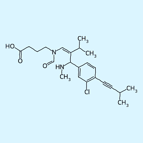 CNC(/C(=C\N(C=O)CCCC(=O)O)C(C)C)c1ccc(C#CC(C)C)c(Cl)c1